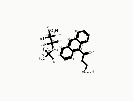 O=C(O)CCC(=O)c1c2ccccc2cc2ccccc12.O=S(=O)(O)C(F)(F)C(F)(F)OC(F)(F)C(F)(F)F